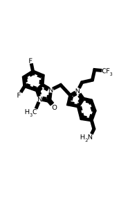 Cn1c(=O)n(Cc2cc3cc(CN)ccc3n2CCCC(F)(F)F)c2cc(F)cc(F)c21